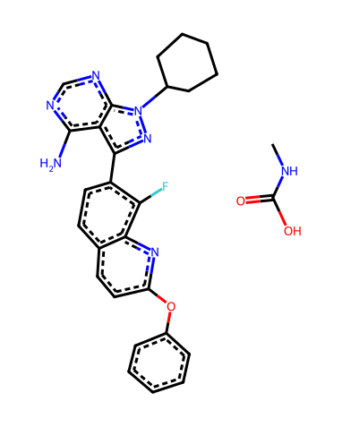 CNC(=O)O.Nc1ncnc2c1c(-c1ccc3ccc(Oc4ccccc4)nc3c1F)nn2C1CCCCC1